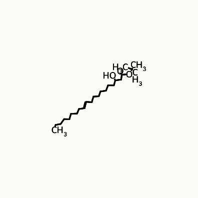 CCCCCCCCC=CCCCCCCCC(O)CC(=O)OC(C)(C)C